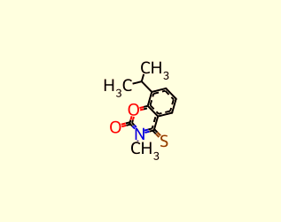 CC(C)c1cccc2c(=S)n(C)c(=O)oc12